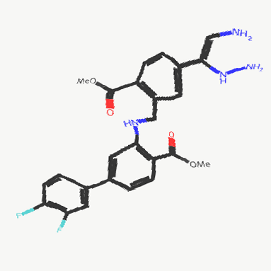 COC(=O)c1ccc(/C(=C/N)NN)cc1CNc1cc(-c2ccc(F)c(F)c2)ccc1C(=O)OC